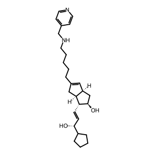 O[C@H](/C=C/[C@@H]1[C@H]2CC(CCCCCNCc3ccncc3)=C[C@H]2C[C@H]1O)C1CCCC1